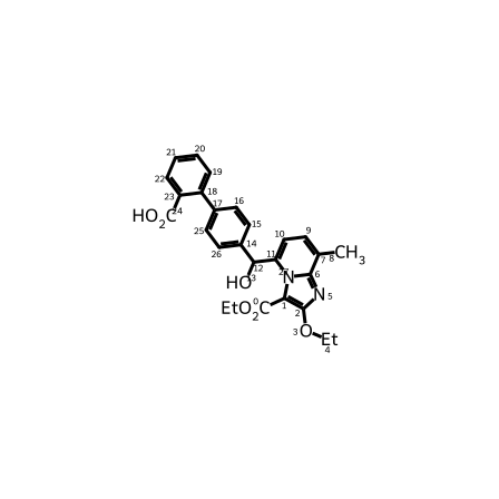 CCOC(=O)c1c(OCC)nc2c(C)ccc(C(O)c3ccc(-c4ccccc4C(=O)O)cc3)n12